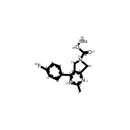 Cc1nc2c(c(-c3ccc(F)cc3)n1)CN(C(=O)OC(C)(C)C)C2